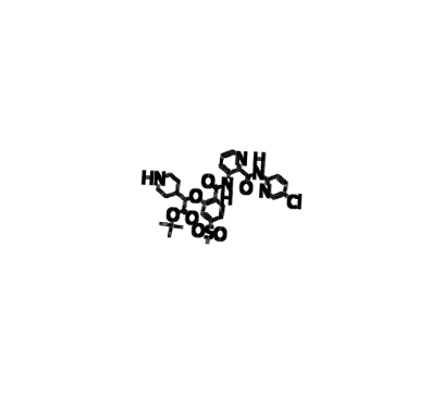 CC(C)(C)OC(=O)C(Oc1cc(S(C)(=O)=O)ccc1C(=O)Nc1cccnc1C(=O)Nc1ccc(Cl)cn1)C1CCNCC1